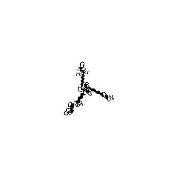 N#COCCCCCCn1c(=O)n(CCCCCCNC(=O)C2COC(=O)O2)c(=O)n(CCCCCCNC(=O)C2COC(=O)O2)c1=O